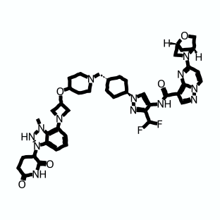 CN1NN(C2CCC(=O)NC2=O)c2cccc(N3CC(OC4CCN(C[C@H]5CC[C@H](n6cc(NC(=O)c7cnn8ccc(N9C[C@H]%10C[C@@H]9CO%10)nc78)c(C(F)F)n6)CC5)CC4)C3)c21